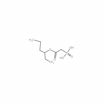 CCCC(CC)OC(=O)CP(=O)(O)O